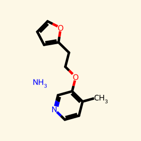 Cc1ccncc1OCCc1ccco1.N